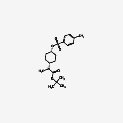 Cc1ccc(S(=O)(=O)O[C@H]2CC[C@@H](N(C)C(=O)OC(C)(C)C)CC2)cc1